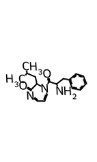 CC(C)CC1C(=O)N=CC=CN1C(=O)C(N)Cc1ccccc1